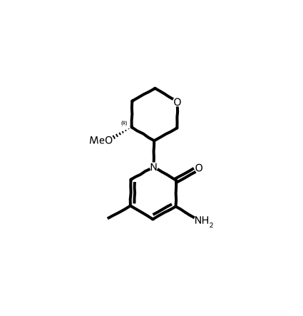 CO[C@@H]1CCOCC1n1cc(C)cc(N)c1=O